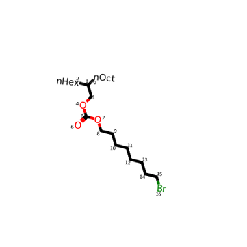 CCCCCCCCC(CCCCCC)COC(=O)OCCCCCCCCBr